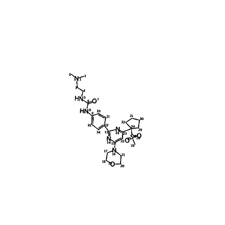 CN(C)CCNC(=O)Nc1ccc(-c2nc(N3CCOCC3)cc(C3(S(C)(=O)=O)CCCC3)n2)cc1